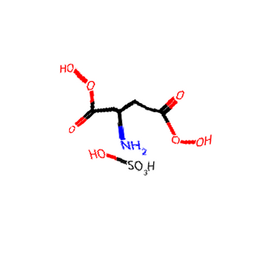 NC(CC(=O)OO)C(=O)OO.O=S(=O)(O)O